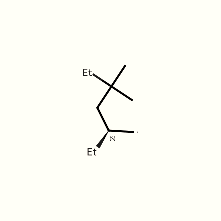 [CH2][C@@H](CC)CC(C)(C)CC